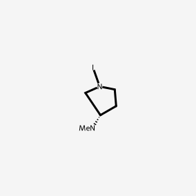 CN[C@H]1CCN(I)C1